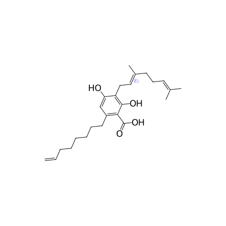 C=CCCCCCCc1cc(O)c(C/C=C(\C)CCC=C(C)C)c(O)c1C(=O)O